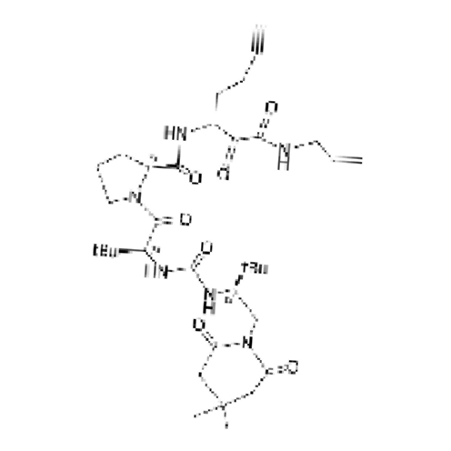 C#CCCC(NC(=O)[C@@H]1CCCN1C(=O)[C@@H](NC(=O)N[C@H](CN1C(=O)CC(C)(C)CC1=O)C(C)(C)C)C(C)(C)C)C(=O)C(=O)NCC=C